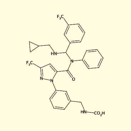 O=C(O)NCc1cccc(-n2nc(C(F)(F)F)cc2C(=O)N(c2ccccc2)C(NCC2CC2)c2cccc(C(F)(F)F)c2)c1